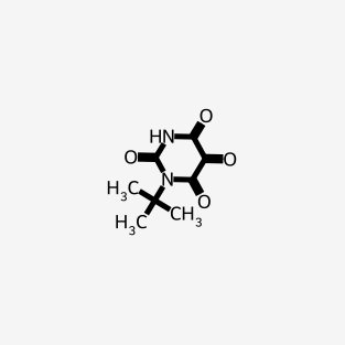 CC(C)(C)N1C(=O)NC(=O)C(=O)C1=O